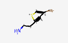 NCCc1cc(Br)cs1